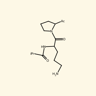 CC(=O)C1CCCN1C(=O)C(CCCN)NC(=O)C(C)C